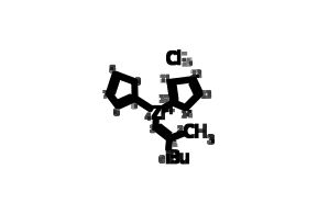 CCC(C)/C(C)=[CH]/[Zr+]([C]1=CC=CC1)[C]1=CC=CC1.[Cl-]